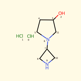 Cl.Cl.OC1CCN(C2CNC2)C1